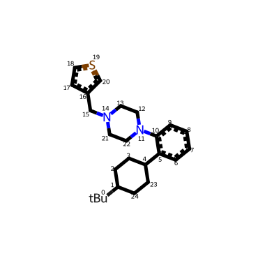 CC(C)(C)C1CCC(c2ccccc2N2CCN(Cc3ccsc3)CC2)CC1